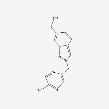 Cc1cnc(Cn2cc3ccc(CO)cc3n2)cn1